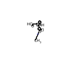 CCCCC/C=C/COc1ccc(C(=O)Nc2ccccc2OCCCC(=O)O)cc1Cl